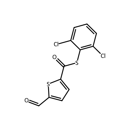 O=Cc1ccc(C(=O)Sc2c(Cl)cccc2Cl)s1